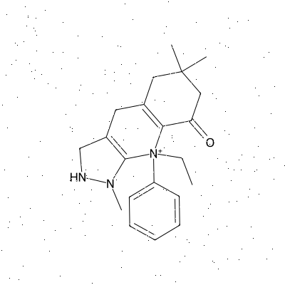 CC[N+]1(c2ccccc2)C2=C(CC3=C1N(C)NC3)CC(C)(C)CC2=O